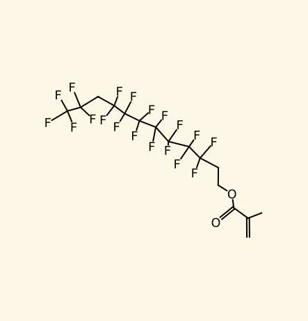 C=C(C)C(=O)OCCC(F)(F)C(F)(F)C(F)(F)C(F)(F)C(F)(F)C(F)(F)C(F)(F)CC(F)(F)C(F)(F)F